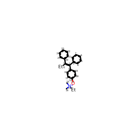 CCC(=C(c1ccccc1)c1ccc(O[N+](C)(C)CC)cc1)c1ccccc1